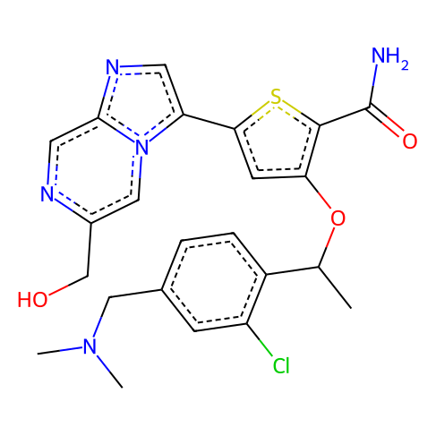 CC(Oc1cc(-c2cnc3cnc(CO)cn23)sc1C(N)=O)c1ccc(CN(C)C)cc1Cl